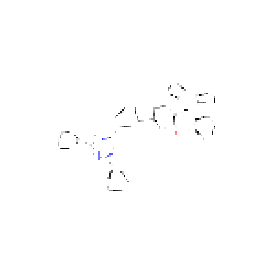 c1ccc(-c2nc(-c3ccccc3)nc(-c3ccc4sc5cc6c(cc5c4c3)Oc3ccccc3C63c4ccccc4-c4ccccc43)n2)cc1